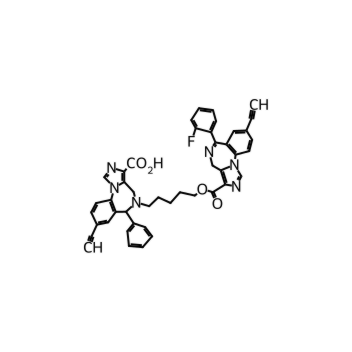 C#Cc1ccc2c(c1)C(c1ccccc1F)=NCc1c(C(=O)OCCCCCN3Cc4c(C(=O)O)ncn4-c4ccc(C#C)cc4C3c3ccccc3)ncn1-2